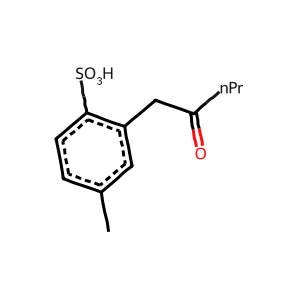 CCCC(=O)Cc1cc(C)ccc1S(=O)(=O)O